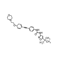 CC(C)(C)c1cc(NC(=O)Nc2ccc(C#CC3=CCC(OCCN4CCOCC4)C=C3)cc2)no1